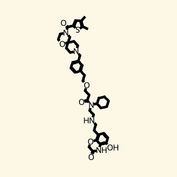 Cc1cc(C(=O)N2CCOC3(CCN(Cc4cccc(CCOCCC(=O)N(CCNCCc5ccc(O)c6c5OCC(=O)N6)C5CCCCC5)c4)CC3)C2)sc1C